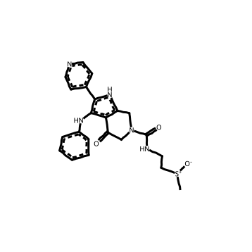 C[S+]([O-])CCNC(=O)N1CC(=O)c2c([nH]c(-c3ccncc3)c2Nc2ccccc2)C1